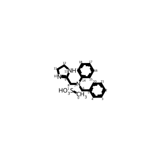 CS(=O)(=O)O.c1ccc(CN(CC2=NCCN2)c2ccccc2)cc1